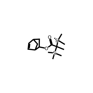 CC(C(=O)OC1CC2C=CC1C2)([Si](C)(C)C)[Si](C)(C)C